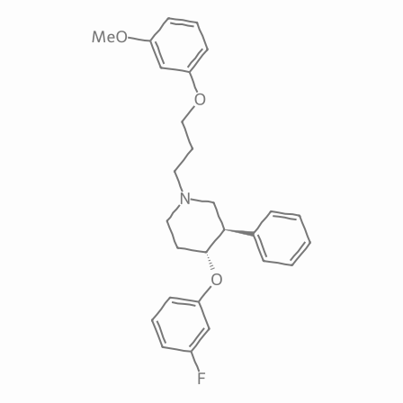 COc1cccc(OCCCN2CC[C@@H](Oc3cccc(F)c3)[C@H](c3ccccc3)C2)c1